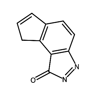 O=C1N=Nc2ccc3c(c21)CC=C3